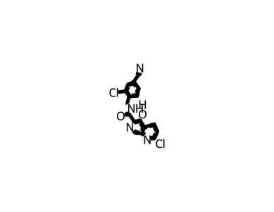 N#Cc1ccc(CNC(=O)c2ncc3nc(Cl)ccc3c2O)c(Cl)c1